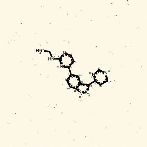 CCNc1nccc(-c2ccc3noc(-c4ccncn4)c3c2)n1